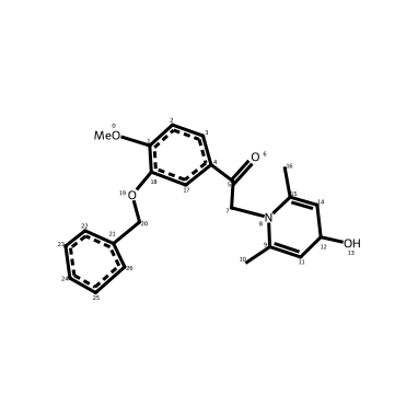 COc1ccc(C(=O)CN2C(C)=CC(O)C=C2C)cc1OCc1ccccc1